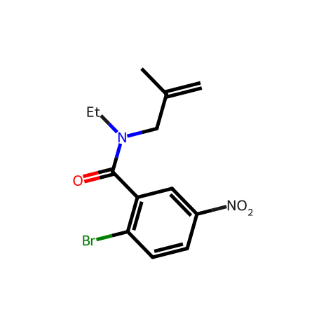 C=C(C)CN(CC)C(=O)c1cc([N+](=O)[O-])ccc1Br